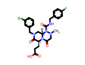 CN1CC(=O)N2[C@@H](CCC(=O)O)C(=O)N(Cc3cccc(Br)c3)C[C@@H]2N1C(=O)NCc1ccc(F)cc1